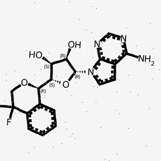 Nc1ncnc2c1ccn2[C@@H]1O[C@H]([C@@H]2OCC(F)(F)c3ccccc32)[C@@H](O)[C@H]1O